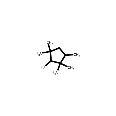 CC1CC(C)(C)C(O)C1(C)C